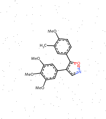 COc1ccc(-c2oncc2-c2cc(OC)c(OC)c(OC)c2)cc1C